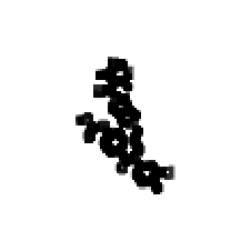 COC(=O)ON1CCC(C(=O)N(CCCN2CC3CN(C(=O)c4c(C)ncnc4C)CC3C2)c2ccc(C)c(Cl)c2)CC1